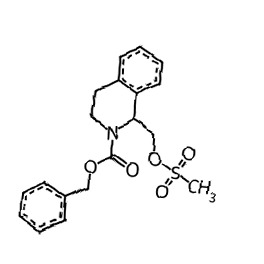 CS(=O)(=O)OCC1c2ccccc2CCN1C(=O)OCc1ccccc1